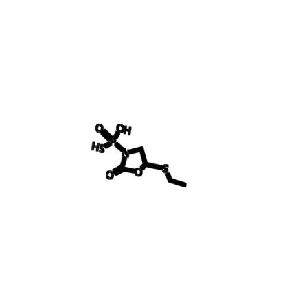 CCSC1CN(P(=O)(O)S)C(=O)O1